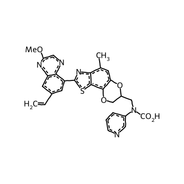 C=Cc1cc(-c2nc3c(C)cc4c(c3s2)OCC(CN(C(=O)O)c2cccnc2)O4)c2ncc(OC)nc2c1